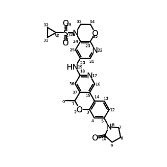 CC1Oc2cc(N3CCCC3=O)ccc2-c2cnc(Nc3cnc4c(c3)N(S(=O)(=O)C3CC3)CCO4)cc21